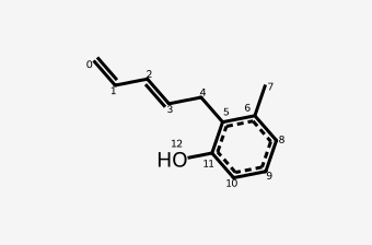 C=CC=CCc1c(C)cccc1O